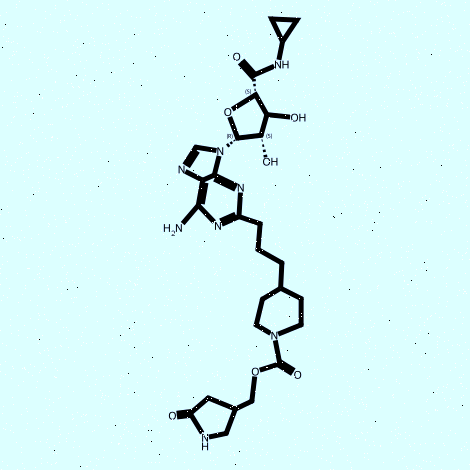 Nc1nc(CCCC2CCN(C(=O)OCC3CNC(=O)C3)CC2)nc2c1ncn2[C@@H]1O[C@H](C(=O)NC2CC2)C(O)[C@@H]1O